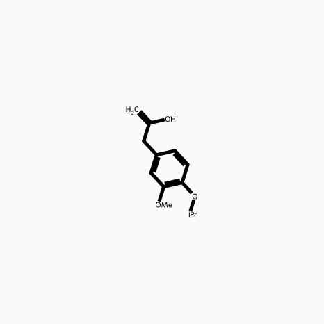 C=C(O)Cc1ccc(OC(C)C)c(OC)c1